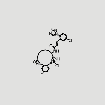 O=C(/C=C/c1cc(Cl)ccc1-n1cnnn1)NC1CCCCCC(=O)Nc2cc(F)ccc2-c2nc1[nH]c2Cl